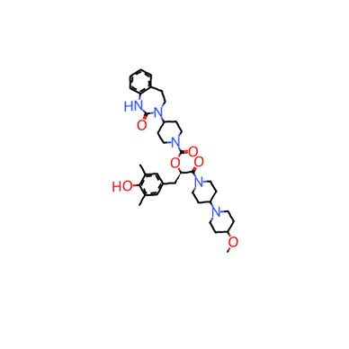 COC1CCN(C2CCN(C(=O)[C@@H](Cc3cc(C)c(O)c(C)c3)OC(=O)N3CCC(N4CCc5ccccc5NC4=O)CC3)CC2)CC1